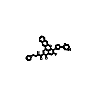 O=C(NCCN1CC=CC1)c1cn2c3c(c(N4CCC(C5=CNCC=N5)C4)c(F)cc3c1=O)Oc1cc3ccccc3cc1-2